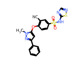 Cn1nc(-c2ccccc2)cc1Oc1ccc(S(=O)(=O)Nc2ncns2)cc1C#N